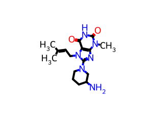 CC(C)=CCn1c(N2CCCC(N)C2)nc2c1c(=O)[nH]c(=O)n2C